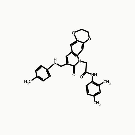 Cc1ccc(NCc2cc3cc4c(cc3n(CC(=O)Nc3ccc(C)cc3C)c2=O)OCCO4)cc1